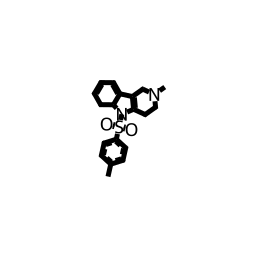 Cc1ccc(S(=O)(=O)N2C3=C(CN(C)CC3)C3=CC=CCC32)cc1